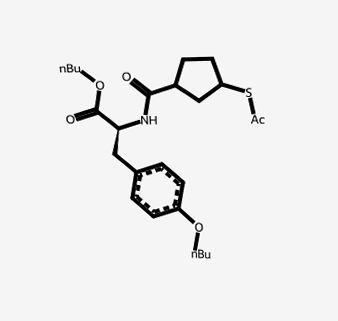 CCCCOC(=O)[C@H](Cc1ccc(OCCCC)cc1)NC(=O)C1CCC(SC(C)=O)C1